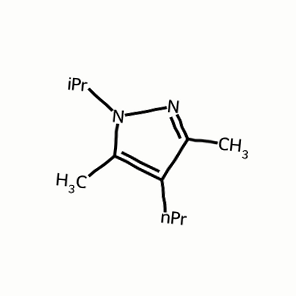 CCCc1c(C)nn(C(C)C)c1C